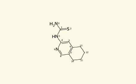 NC(=S)Nc1cc2c(cn1)CCCC2